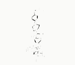 COc1ccc(N2CCN(C(=O)Nc3ccc(O[Si](C)(C)C(C)(C)C)cn3)CC2)cc1